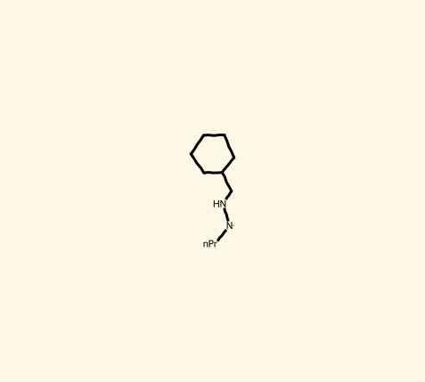 CCC[N]NCC1CCCCC1